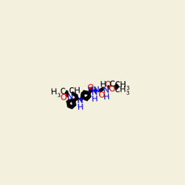 CCC(=O)N1c2ccccc2[C@H](Nc2ccc(C(=O)NNC(=O)CNC(=O)OC(C)(C)C)cc2)C[C@@H]1C